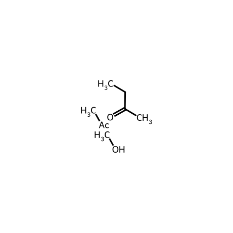 CC(C)=O.CCC(C)=O.CO